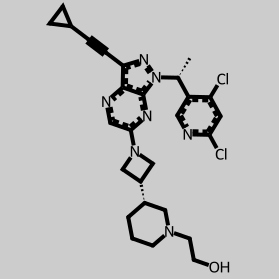 C[C@H](c1cnc(Cl)cc1Cl)n1nc(C#CC2CC2)c2ncc(N3CC([C@H]4CCCN(CCO)C4)C3)nc21